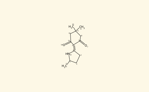 CC1CCC(=C2C(=O)CC(C)(C)CC2=O)N1